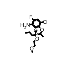 CCCP(=O)(OCCOC)C(C)Oc1cc(N)c(F)cc1Cl